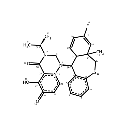 C[C@H](N1CN([C@@H]2c3ccccc3SCC3(C)C=C(F)C=CC23)n2ccc(=O)c(O)c2C1=O)C(F)(F)F